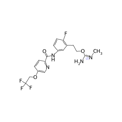 C/N=C(/N)OCCc1cc(NC(=O)c2ccc(OCC(F)(F)F)cn2)ccc1F